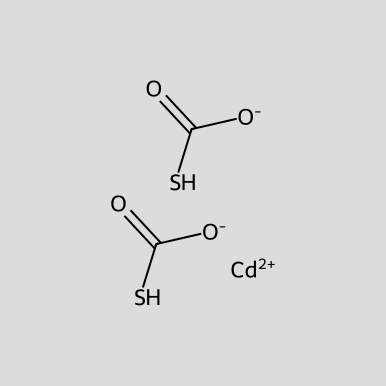 O=C([O-])S.O=C([O-])S.[Cd+2]